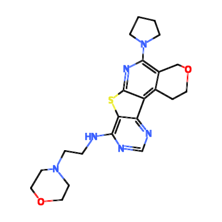 c1nc(NCCN2CCOCC2)c2sc3nc(N4CCCC4)c4c(c3c2n1)CCOC4